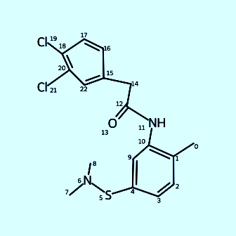 Cc1ccc(SN(C)C)cc1NC(=O)Cc1ccc(Cl)c(Cl)c1